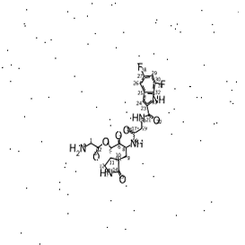 NCC(=O)OCC(=O)C(C[C@@H]1CCNC1=O)NC(=O)CNC(=O)c1cc2cc(F)cc(F)c2[nH]1